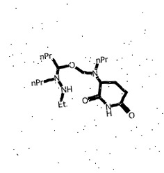 CCCC(OCN(CCC)C1CCC(=O)NC1=O)N(CCC)NCC